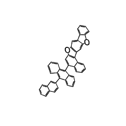 c1ccc2cc(-c3c4ccccc4c(-c4cc5oc6cc7c(cc6c5c5ccccc45)oc4ccccc47)c4ccccc34)ccc2c1